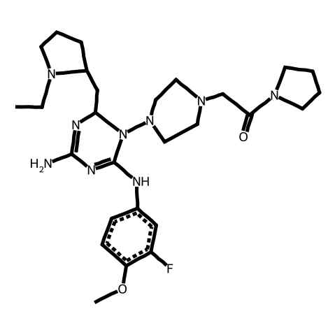 CCN1CCCC1CC1N=C(N)N=C(Nc2ccc(OC)c(F)c2)N1N1CCN(CC(=O)N2CCCC2)CC1